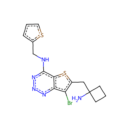 NC1(Cc2sc3c(NCc4cccs4)nnnc3c2Br)CCC1